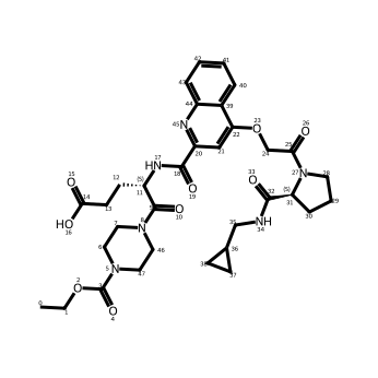 CCOC(=O)N1CCN(C(=O)[C@H](CCC(=O)O)NC(=O)c2cc(OCC(=O)N3CCC[C@H]3C(=O)NCC3CC3)c3ccccc3n2)CC1